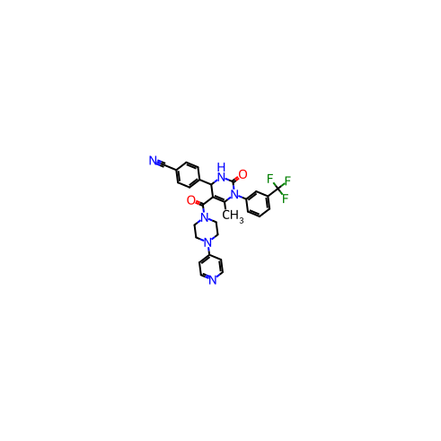 CC1=C(C(=O)N2CCN(c3ccncc3)CC2)C(c2ccc(C#N)cc2)NC(=O)N1c1cccc(C(F)(F)F)c1